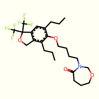 CCCc1cc2c(c(CCC)c1OCCCCN1COCCCC1=O)COC2(C(F)(F)F)C(F)(F)F